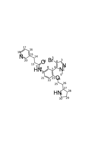 Cn1ncc(Br)c1-c1cc(NC(=O)CCc2cccnc2)ccc1OCCC1CCCN1